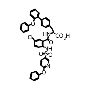 O=C(N[C@@H](Cc1ccc(-c2ccccc2Oc2ccccc2)cc1)C(=O)O)c1cc(Cl)ccc1NS(=O)(=O)c1ccc(Oc2ccccc2)nc1